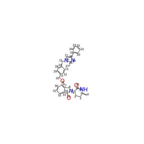 C=C1CCC(N2Cc3c(OCc4ccc(Cn5cc(-c6ccccc6)nc5C)cc4)cccc3C2=O)C(=O)N1